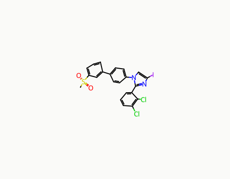 CS(=O)(=O)c1cccc(-c2ccc(-n3cc(I)nc3-c3cccc(Cl)c3Cl)cc2)c1